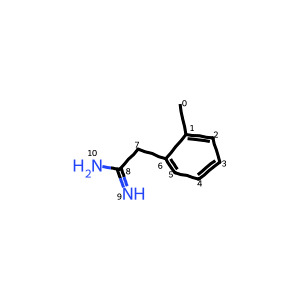 Cc1ccccc1CC(=N)N